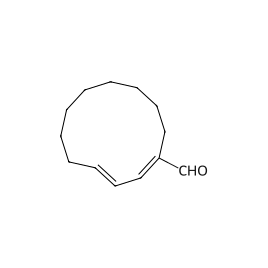 O=C/C1=C/C=C/CCCCCCCC1